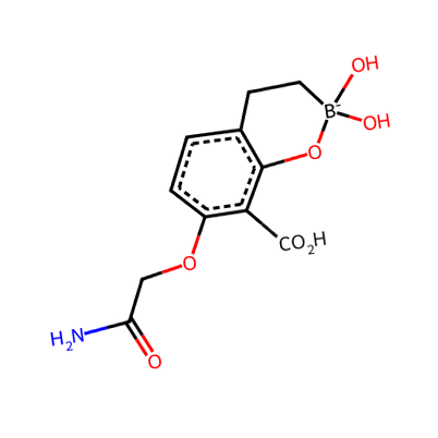 NC(=O)COc1ccc2c(c1C(=O)O)O[B-](O)(O)CC2